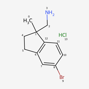 CC1(CN)CCc2cc(Br)ccc21.Cl